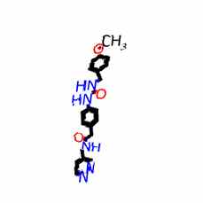 COc1ccc(CNC(=O)Nc2ccc(CC(=O)NCc3ccnnc3)cc2)cc1